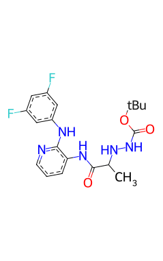 CC(NNC(=O)OC(C)(C)C)C(=O)Nc1cccnc1Nc1cc(F)cc(F)c1